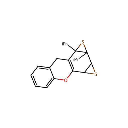 CC(C)C12SC1(C(C)C)C1SC1C1=C2Cc2ccccc2O1